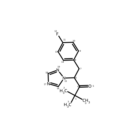 CC(C)(C)C(=O)C(Cc1ccc(F)cc1)n1cncn1